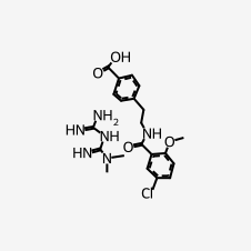 CN(C)C(=N)NC(=N)N.COc1ccc(Cl)cc1C(=O)NCCc1ccc(C(=O)O)cc1